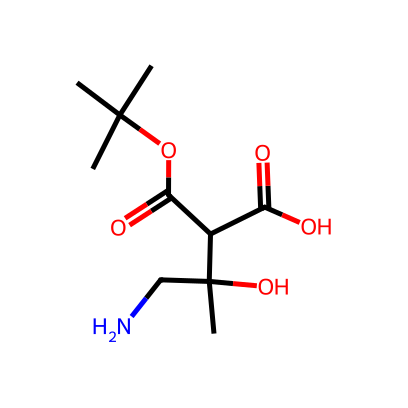 CC(C)(C)OC(=O)C(C(=O)O)C(C)(O)CN